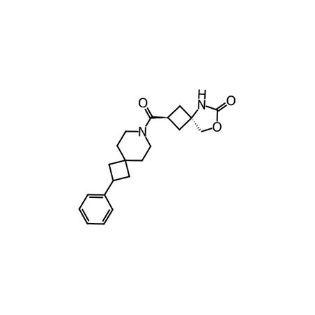 O=C1N[C@]2(CO1)C[C@H](C(=O)N1CCC3(CC1)CC(c1ccccc1)C3)C2